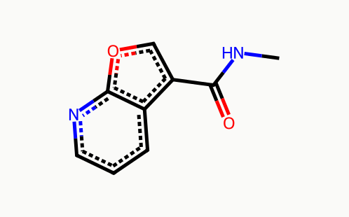 CNC(=O)c1coc2ncccc12